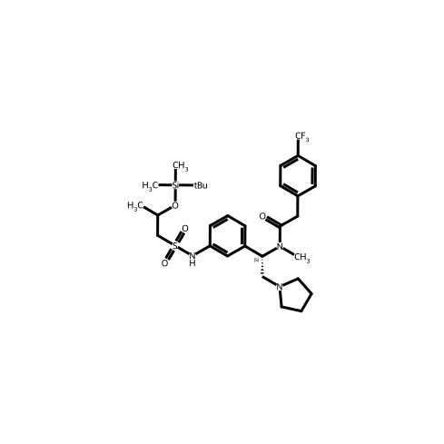 CC(CS(=O)(=O)Nc1cccc([C@@H](CN2CCCC2)N(C)C(=O)Cc2ccc(C(F)(F)F)cc2)c1)O[Si](C)(C)C(C)(C)C